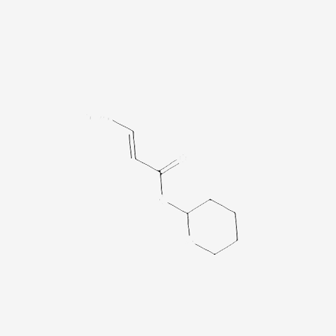 CCCCCCC=CC(=O)OC1CCCCO1